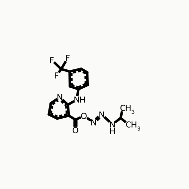 CC(C)NN=NOC(=O)c1cccnc1Nc1cccc(C(F)(F)F)c1